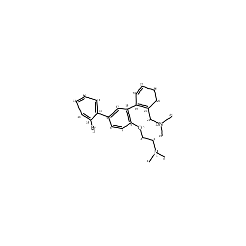 CN(C)CCOc1ccc(-c2ccccc2Br)cc1C1=C(CN(C)C)[CH]CC=C1